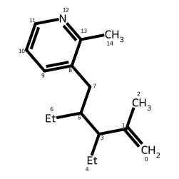 C=C(C)C(CC)C(CC)Cc1cccnc1C